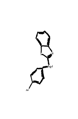 CC(=O)c1ccc(Nc2nc3ccccc3s2)cc1